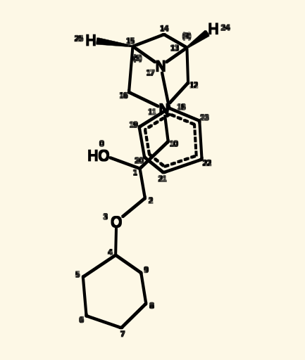 OC(COC1CCCCC1)CN1C[C@H]2C[C@@H](C1)N2c1ccccc1